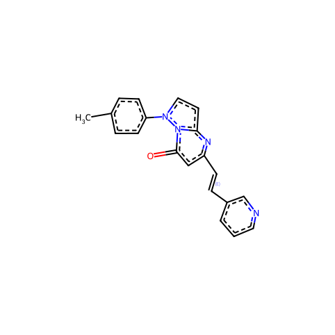 Cc1ccc(-n2ccc3nc(/C=C/c4cccnc4)cc(=O)n32)cc1